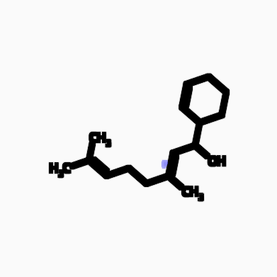 CC(C)=CCC/C(C)=C/C(O)C1C=CCCC1